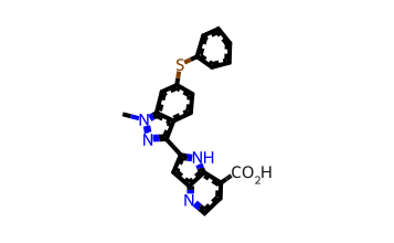 Cn1nc(-c2cc3nccc(C(=O)O)c3[nH]2)c2ccc(Sc3ccccc3)cc21